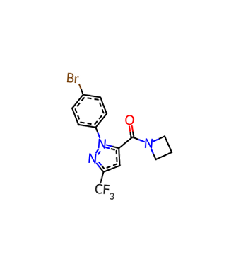 O=C(c1cc(C(F)(F)F)nn1-c1ccc(Br)cc1)N1CCC1